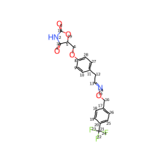 O=C1NC(=O)C(COc2ccc(CC=NOCc3ccc(C(F)(F)F)cc3)cc2)O1